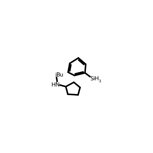 CCC(C)NC1CCCC1.[SiH3]c1ccccc1